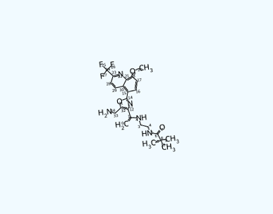 C=C(NCCNC(=O)C(C)(C)C)c1nc(-c2ccc(OC)c3nc(C(F)(F)F)ccc23)oc1CN